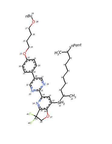 CCCCCC(C)CCCCCCC(C)[SiH2]c1cc(-c2ncc(-c3ccc(OCCCCOCCCC)cc3)cn2)nc2c1OCC2(F)F